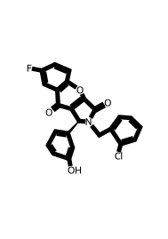 O=C1c2oc3ccc(F)cc3c(=O)c2[C@H](c2cccc(O)c2)N1Cc1ccccc1Cl